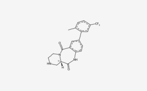 Cc1ccc(C(F)(F)F)cc1-c1ccc2c(c1)C(=O)N1CCNC[C@H]1C(=O)N2